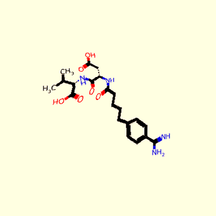 CC(C)[C@H](NC(=O)[C@H](CC(=O)O)NC(=O)CCCCc1ccc(C(=N)N)cc1)C(=O)O